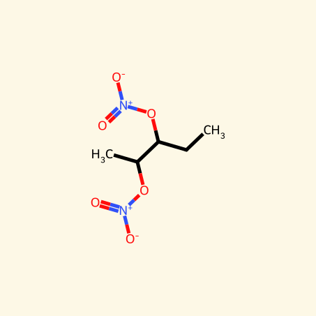 CCC(O[N+](=O)[O-])C(C)O[N+](=O)[O-]